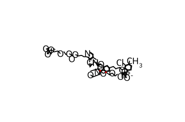 Cc1ccc(F)c(OCCCc2ccc(C3=C(C(=O)N(Cc4ccnc(CCCOC(=O)OCCOCCO[N+](=O)[O-])c4C)C4CC4)C4COCC(C3)N4C(=O)OCCOCCO[N+](=O)[O-])cc2)c1Cl